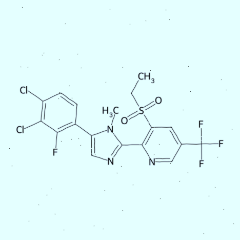 CCS(=O)(=O)c1cc(C(F)(F)F)cnc1-c1ncc(-c2ccc(Cl)c(Cl)c2F)n1C